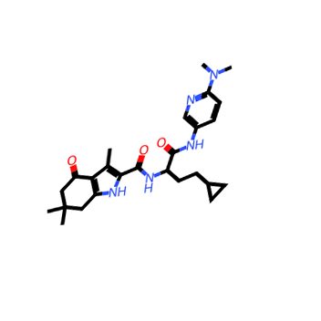 Cc1c(C(=O)NC(CCC2CC2)C(=O)Nc2ccc(N(C)C)nc2)[nH]c2c1C(=O)CC(C)(C)C2